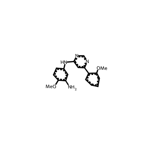 COc1ccc(Nc2cc(-c3ccccc3OC)ncn2)cc1N